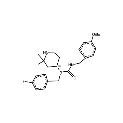 CC(C)COc1ccc(CNC(=O)N(Cc2ccc(F)cc2)[C@H]2CCNC(C)(C)C2)cc1